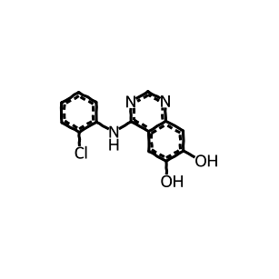 Oc1cc2ncnc(Nc3ccccc3Cl)c2cc1O